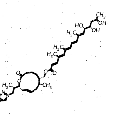 CCc1cn(C[C@H](C)[C@H]2C/C=C/C[C@H](C)[C@@H](COC(=O)/C=C/C(C)=C/C(C)=C/C=C/C(C)=C/[C@H](O)[C@@H](O)CC(C)O)CCCC(=O)O2)nn1